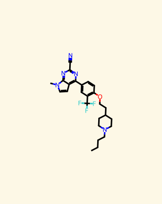 CCCCN1CCC(CCOc2ccc(-c3nc(C#N)nc4c3ccn4C)cc2C(F)(F)F)CC1